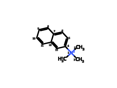 C[N+](C)(C)c1ccc2[c]cccc2c1